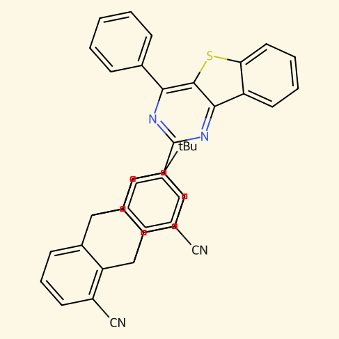 CC(C)(C)c1ccc2c(c1)C1c3cccc(C#N)c3C2c2c(C#N)cc(-c3nc(-c4ccccc4)c4sc5ccccc5c4n3)cc21